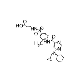 Cc1cc(S(=O)(=O)NCCCC(=O)O)ccc1NC(=O)c1cc(N(CC2CC2)C2CCCCC2)ncn1